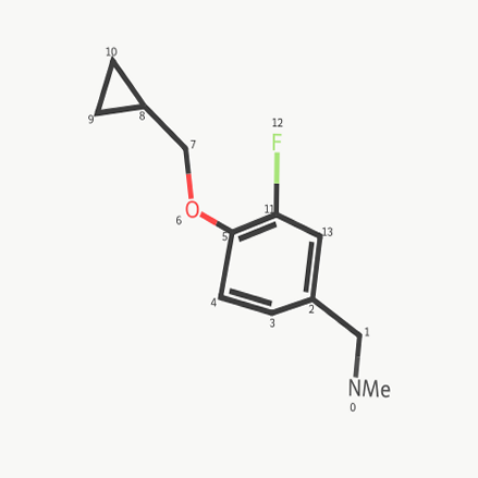 CNCc1ccc(OCC2CC2)c(F)c1